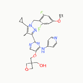 CCOc1cc(F)c(Cn2nc(-c3ncc(OCC4(CO)COC4)c(Nc4ccncc4)n3)c(C)c2C2CC2)c(F)c1